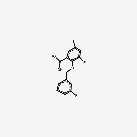 Cc1cc(Br)c(OCc2cccc(F)c2)c(B(O)O)c1